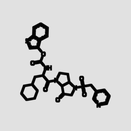 O=C(NC(CC1CCCCC1)C(=O)N1CCC2C1C(=O)CN2S(=O)(=O)Cc1cccnc1)Oc1csc2ccccc12